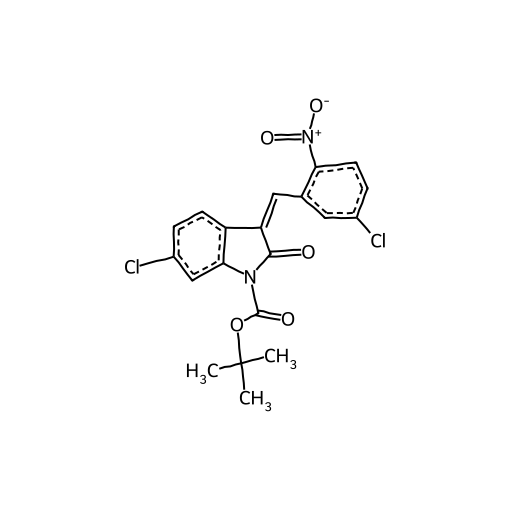 CC(C)(C)OC(=O)N1C(=O)C(=Cc2cc(Cl)ccc2[N+](=O)[O-])c2ccc(Cl)cc21